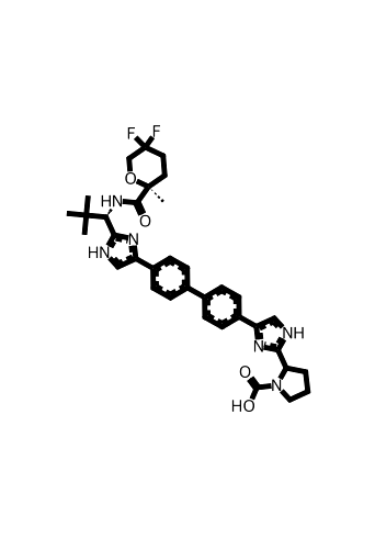 CC(C)(C)[C@H](NC(=O)[C@]1(C)CCC(F)(F)CO1)c1nc(-c2ccc(-c3ccc(-c4c[nH]c(C5CCCN5C(=O)O)n4)cc3)cc2)c[nH]1